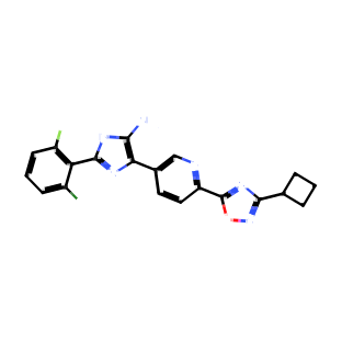 Nc1[nH]c(-c2c(F)cccc2Cl)nc1-c1ccc(-c2nc(C3CCC3)no2)nc1